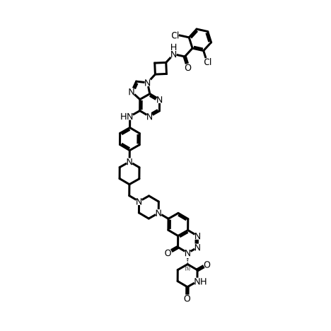 O=C1CC[C@H](n2nnc3ccc(N4CCN(CC5CCN(c6ccc(Nc7ncnc8c7ncn8C7CC(NC(=O)c8c(Cl)cccc8Cl)C7)cc6)CC5)CC4)cc3c2=O)C(=O)N1